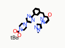 Cn1cc(-n2ccc(=O)c(Cc3cccc(-c4ncc(N5CCN(C(=O)OC(C)(C)C)CC5)cn4)c3)n2)cn1